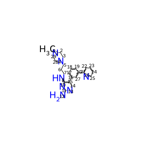 CN1CCN(CCCNc2nc(N)ncc2-c2cccc(-c3ccccn3)c2)CC1